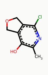 Cc1nc(Cl)c2c(c1O)COC2